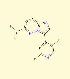 Fc1cc(-c2cnc3ccc(C(F)F)nn23)c(F)cn1